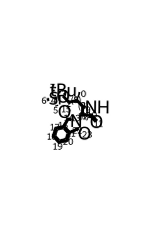 C[C@H](CO[Si](C)(C)C(C)(C)C)[C@H]1NC(=O)[C@@H]1N1C(=O)c2ccccc2C1=O